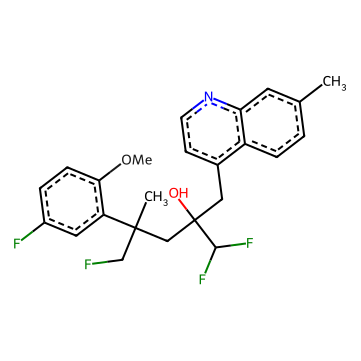 COc1ccc(F)cc1C(C)(CF)CC(O)(Cc1ccnc2cc(C)ccc12)C(F)F